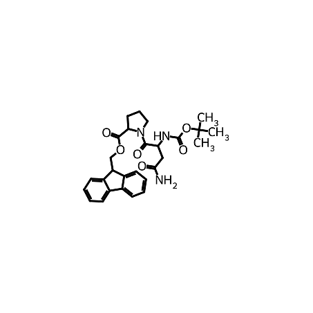 CC(C)(C)OC(=O)NC(CC(N)=O)C(=O)N1CCCC1C(=O)OCC1c2ccccc2-c2ccccc21